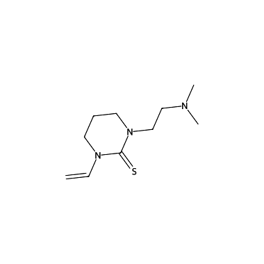 C=CN1CCCN(CCN(C)C)C1=S